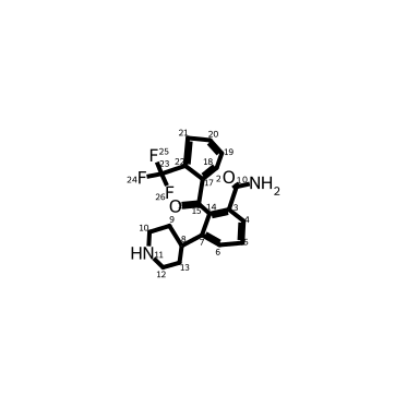 NC(=O)c1cccc(C2CCNCC2)c1C(=O)c1ccccc1C(F)(F)F